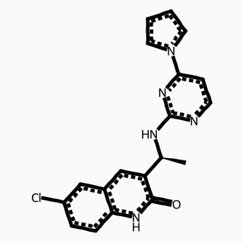 C[C@H](Nc1nccc(-n2cccc2)n1)c1cc2cc(Cl)ccc2[nH]c1=O